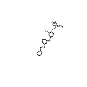 CC(N)(CO)CCc1ccc(Sc2cccc(OCc3ccccc3)c2)cc1Cl